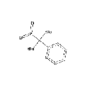 CC(C)(C)C(c1ccccn1)(P(=O)=O)C(C)(C)C